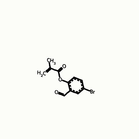 C=C(C)C(=O)Oc1ccc(Br)cc1C=O